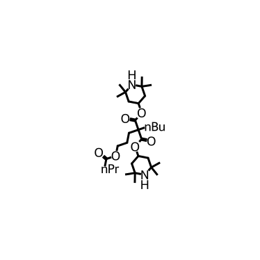 CCCCC(CCCOC(=O)CCC)(C(=O)OC1CC(C)(C)NC(C)(C)C1)C(=O)OC1CC(C)(C)NC(C)(C)C1